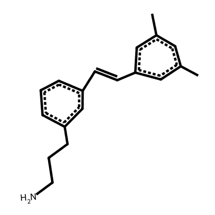 Cc1cc(C)cc(C=Cc2cccc(CCCN)c2)c1